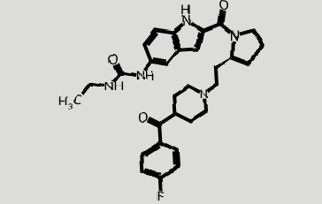 CCNC(=O)Nc1ccc2[nH]c(C(=O)N3CCC[C@H]3CCN3CCC(C(=O)c4ccc(F)cc4)CC3)cc2c1